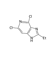 CCc1nc2c(Cl)nc(Cl)cc2[nH]1